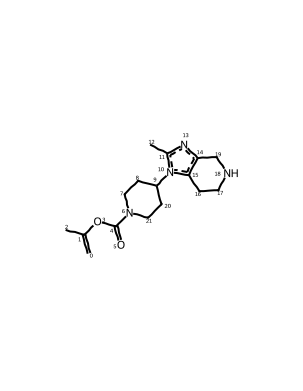 C=C(C)OC(=O)N1CCC(n2c(C)nc3c2CCNC3)CC1